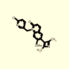 COc1cc2c(ccc(=O)n2Cc2ccc(Cl)nc2)cc1C1=C(C)N=C1C